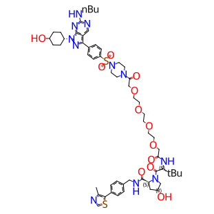 CCCCNc1ncc2c(-c3ccc(S(=O)(=O)N4CCN(C(=O)COCCOCCOCCOCC(=O)N[C@H](C(=O)N5C[C@H](O)C[C@H]5C(=O)NCc5ccc(-c6scnc6C)cc5)C(C)(C)C)CC4)cc3)nn([C@H]3CC[C@H](O)CC3)c2n1